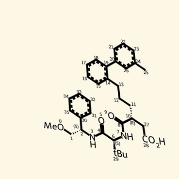 COC[C@@H](NC(=O)[C@@H](NC(=O)[C@H](CCCc1ccccc1-c1cccc(C)c1)CC(=O)O)C(C)(C)C)c1ccccc1